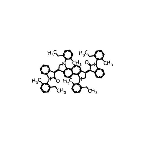 CCc1cccc(C)c1N1C/C(=C2/C(=O)N(c3c(C)cccc3CC)c3ccccc32)c2ccc3c4c(ccc3c21)/C(=C1\C(=O)N(c2c(C)cccc2CC)c2ccccc21)CN4c1c(C)cccc1CC